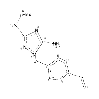 C=Cc1ccc(Cn2nc(SCCCCCC)nc2N)cc1